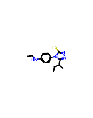 CCNc1ccc(-n2c(S)nnc2C(C)CC)cc1